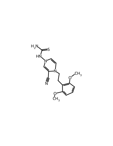 COc1cccc(OC)c1CCN1C=CN(NC(N)=S)C=C1C#N